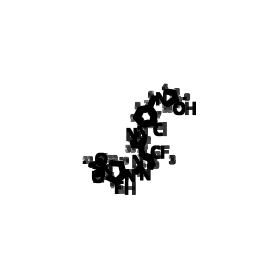 C[C@@]1(O)CCN(Cc2ccc(-n3cc(-c4nc(N[C@H]5CCN(S(C)(=O)=O)C[C@H]5F)ncc4C(F)(F)F)cn3)c(Cl)c2)C1